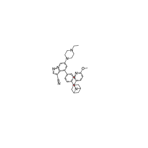 CCN1CCN(c2cc(-c3ccc(N4CC5CC(C4)N5Cc4ccc(OC)nc4)nc3)c3c(C#N)cnn3c2)CC1